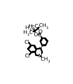 CN1Cc2c(Cl)cc(Cl)cc2[C@H](c2cccc(B3OC(C)(C)C(C)(C)O3)c2)C1